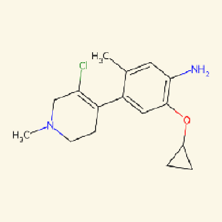 Cc1cc(N)c(OC2CC2)cc1C1=C(Cl)CN(C)CC1